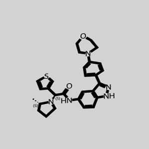 C[C@H]1CCCN1[C@H](C(=O)Nc1ccc2[nH]nc(-c3ccc(N4CCOCC4)cc3)c2c1)c1ccsc1